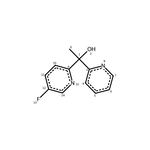 CC(O)(c1ccccn1)c1ccc(F)cn1